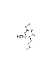 CCCCN1CCC(CC)CC1.Cl